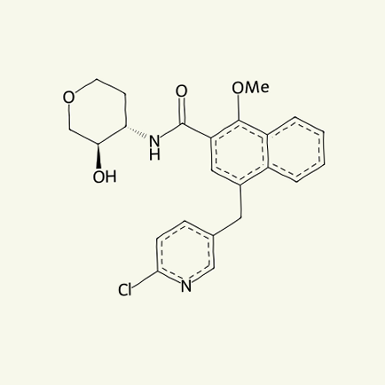 COc1c(C(=O)N[C@H]2CCOC[C@@H]2O)cc(Cc2ccc(Cl)nc2)c2ccccc12